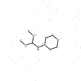 COC(NN1CCOCC1)OC